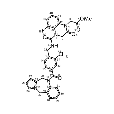 COC(=O)CN1C(=O)CN(C(=O)NCc2ccc(C(=O)N3Cc4cccn4Cc4ccccc43)cc2C)c2c(F)cccc21